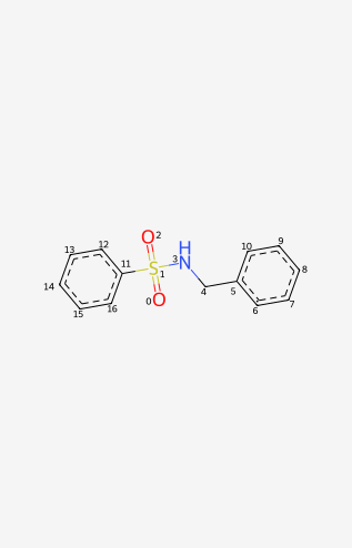 O=S(=O)(NCc1[c]cccc1)c1ccccc1